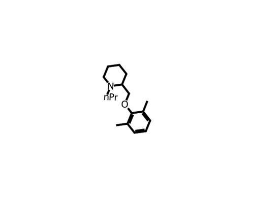 CCCN1CCCCC1COc1c(C)cccc1C